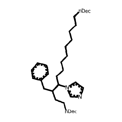 CCCCCCCCCCCCCCCCCCCC(C(CCCCCCCCCCCC)Cc1ccccc1)n1ccnc1